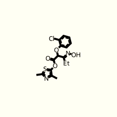 CCC(=NO)C(Oc1ccccc1Cl)C(=O)Oc1sc(C)nc1C